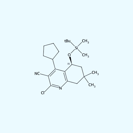 CC1(C)Cc2nc(Cl)c(C#N)c(C3CCCC3)c2[C@@H](O[Si](C)(C)C(C)(C)C)C1